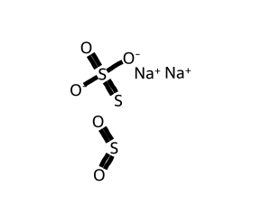 O=S([O-])([O-])=S.O=S=O.[Na+].[Na+]